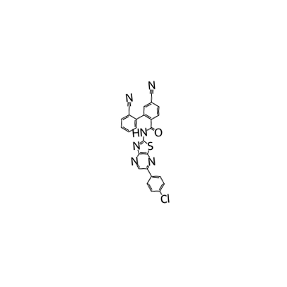 N#Cc1ccc(C(=O)Nc2nc3ncc(-c4ccc(Cl)cc4)nc3s2)c(-c2ccccc2C#N)c1